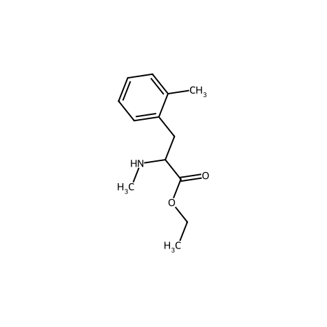 CCOC(=O)C(Cc1ccccc1C)NC